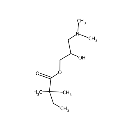 CCC(C)(C)C(=O)OCC(O)CN(C)C